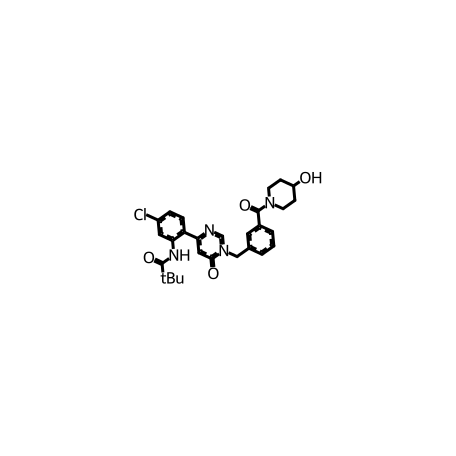 CC(C)(C)C(=O)Nc1cc(Cl)ccc1-c1cc(=O)n(Cc2cccc(C(=O)N3CCC(O)CC3)c2)cn1